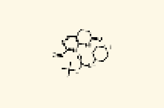 CC(C)(C)OC(=O)NC1CCNCC1.O=Cc1ncc2c(n1)NC(=O)CC2